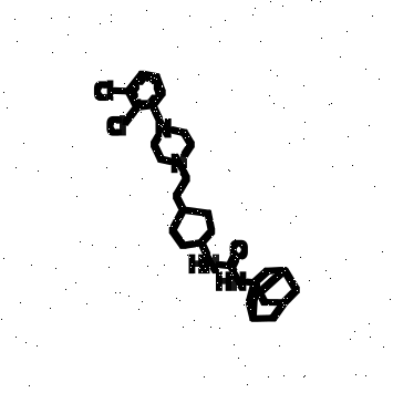 O=C(NC1CCC(CCN2CCN(c3cccc(Cl)c3Cl)CC2)CC1)NC12CC3CC(CC(C3)C1)C2